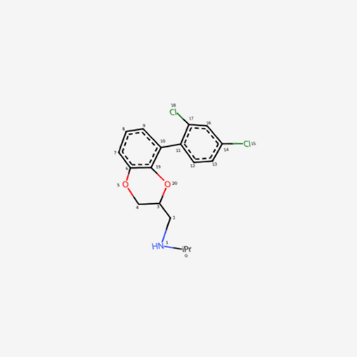 CC(C)NCC1COc2cccc(-c3ccc(Cl)cc3Cl)c2O1